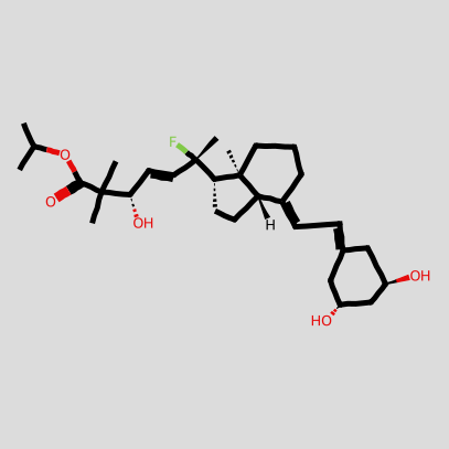 CC(C)OC(=O)C(C)(C)[C@@H](O)/C=C/[C@](C)(F)[C@H]1CC[C@H]2/C(=C/C=C3C[C@@H](O)C[C@H](O)C3)CCC[C@@]21C